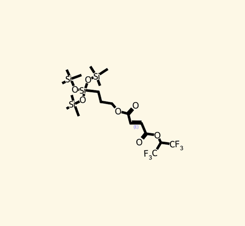 C[Si](C)(C)O[Si](CCCOC(=O)/C=C/C(=O)OC(C(F)(F)F)C(F)(F)F)(O[Si](C)(C)C)O[Si](C)(C)C